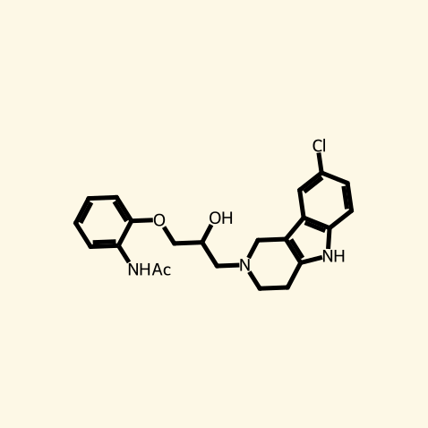 CC(=O)Nc1ccccc1OCC(O)CN1CCc2[nH]c3ccc(Cl)cc3c2C1